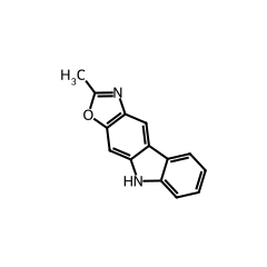 Cc1nc2cc3c(cc2o1)[nH]c1ccccc13